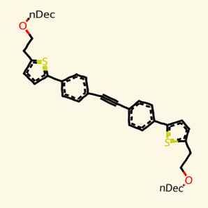 CCCCCCCCCCOCCc1ccc(-c2ccc(C#Cc3ccc(-c4ccc(CCOCCCCCCCCCC)s4)cc3)cc2)s1